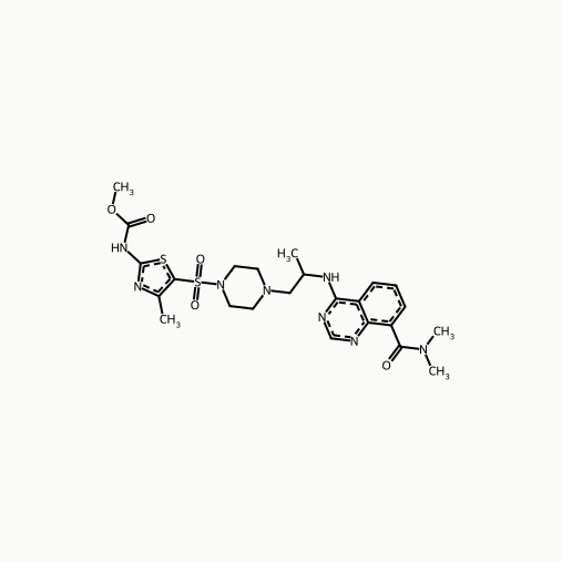 COC(=O)Nc1nc(C)c(S(=O)(=O)N2CCN(CC(C)Nc3ncnc4c(C(=O)N(C)C)cccc34)CC2)s1